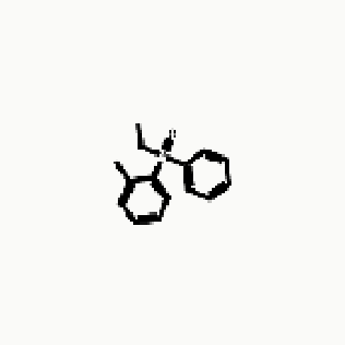 CCP(=O)(c1ccccc1)c1ccccc1C